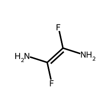 NC(F)=C(N)F